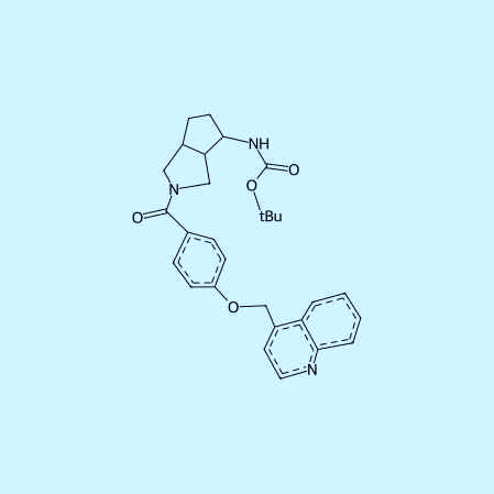 CC(C)(C)OC(=O)NC1CCC2CN(C(=O)c3ccc(OCc4ccnc5ccccc45)cc3)CC21